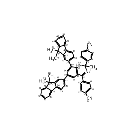 CC1(c2ccc(C#N)cc2)N=C(c2ccc(C#N)cc2)c2cc(-c3ccc4c(c3)C(C)(C)c3ccccc3-4)cc(-c3ccc4c(c3)C(C)(C)c3ccccc3-4)c2N1